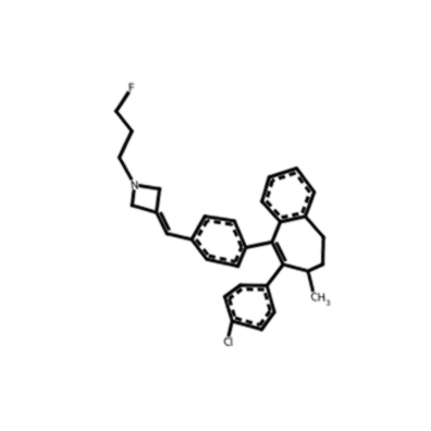 CC1CCc2ccccc2C(c2ccc(C=C3CN(CCCF)C3)cc2)=C1c1ccc(Cl)cc1